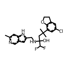 Cc1cc2[nH]c(CNC(O)(CC(C)(C)c3cc(Cl)cc4c3OCC4)C(F)F)cc2cn1